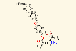 C=C(C)C(=O)OCC(COC(=O)C(=C)CN)c1ccc(OCc2ccc(C3CCC(CCCCC)CC3)cc2)cc1